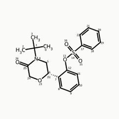 CC(C)(C)N1C[C@H](c2ccccc2OS(=O)(=O)c2ccccc2)OCC1=O